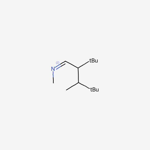 C/N=C\C(C(C)C(C)(C)C)C(C)(C)C